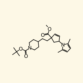 COC(=O)C1(CCC2CCN(C(=O)OC(C)(C)C)CC2)C=CC(n2c(C)ccc2C)C1